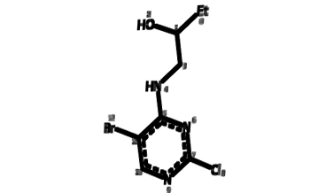 CCC(O)CNc1nc(Cl)ncc1Br